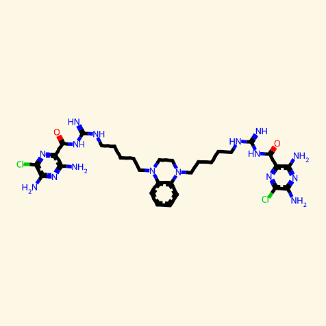 N=C(NCCCCCN1CCN(CCCCCNC(=N)NC(=O)c2nc(Cl)c(N)nc2N)c2ccccc21)NC(=O)c1nc(Cl)c(N)nc1N